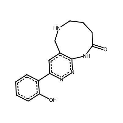 O=C1CCCNCc2cc(-c3ccccc3O)nnc2N1